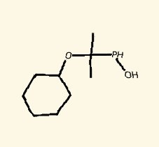 CC(C)(OC1CCCCC1)PO